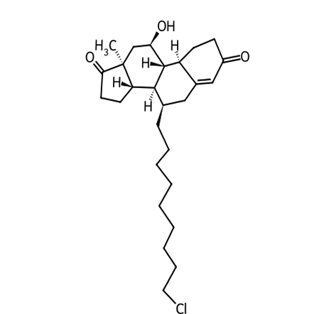 C[C@]12C[C@@H](O)[C@H]3[C@@H]([C@H](CCCCCCCCCCl)CC4=CC(=O)CC[C@@H]43)[C@@H]1CCC2=O